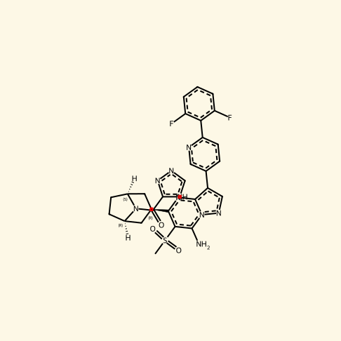 CS(=O)(=O)c1c([C@H]2C[C@H]3CC[C@@H](C2)N3C(=O)c2nnc[nH]2)nc2c(-c3ccc(-c4c(F)cccc4F)nc3)cnn2c1N